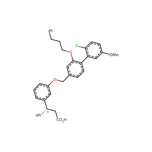 CCC[C@@H](CC(=O)O)c1cccc(OCc2ccc(-c3cc(OC)ccc3F)c(OCCCC(C)C)c2)c1